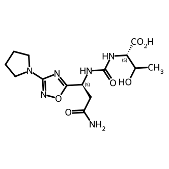 CC(O)[C@H](NC(=O)N[C@@H](CC(N)=O)c1nc(N2CCCC2)no1)C(=O)O